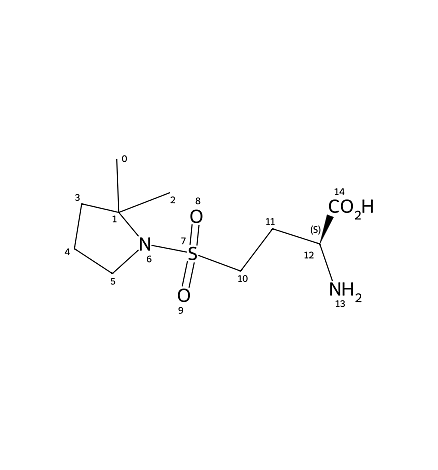 CC1(C)CCCN1S(=O)(=O)CC[C@H](N)C(=O)O